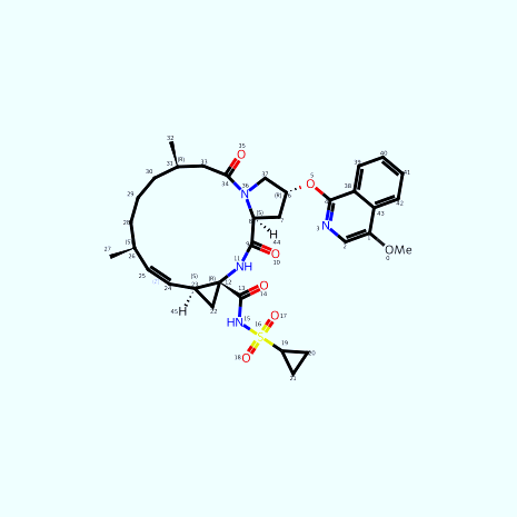 COc1cnc(O[C@@H]2C[C@H]3C(=O)N[C@]4(C(=O)NS(=O)(=O)C5CC5)C[C@H]4/C=C\[C@@H](C)CCC[C@@H](C)CC(=O)N3C2)c2ccccc12